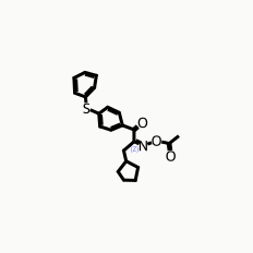 CC(=O)O/N=C(/CC1CCCC1)C(=O)c1ccc(Sc2ccccc2)cc1